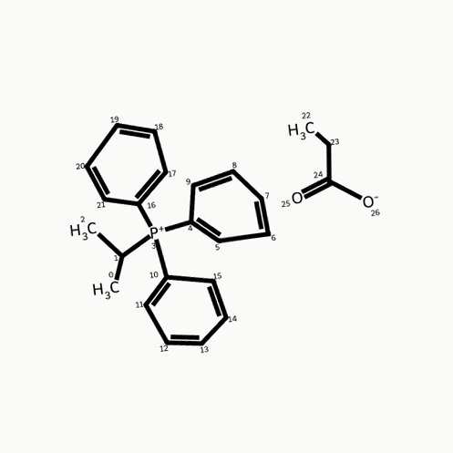 CC(C)[P+](c1ccccc1)(c1ccccc1)c1ccccc1.CCC(=O)[O-]